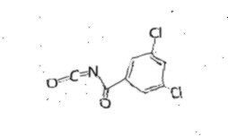 O=C=NC(=O)c1cc(Cl)cc(Cl)c1